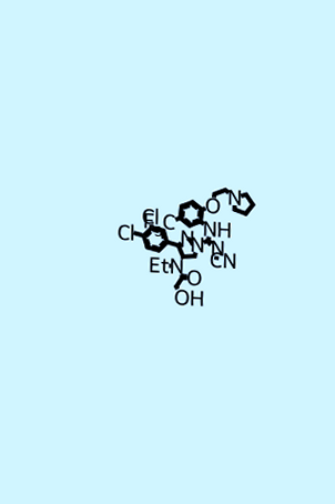 CCN(C(=O)CO)[C@@H]1CN(C(=NC#N)Nc2cc(C(F)(F)F)ccc2OCCN2CCCC2)N=C1c1ccc(Cl)c(Cl)c1